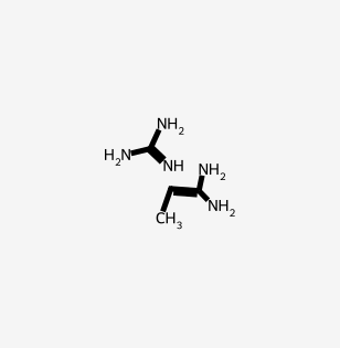 CC=C(N)N.N=C(N)N